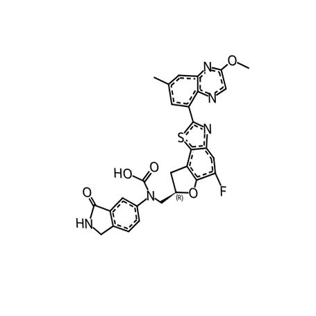 COc1cnc2c(-c3nc4cc(F)c5c(c4s3)C[C@H](CN(C(=O)O)c3ccc4c(c3)C(=O)NC4)O5)cc(C)cc2n1